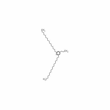 [CH2]CCc1cc(CCCCCCCCCCCCCCCC)nc(CCCCCCCCCCCCCCCC)c1